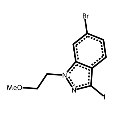 COCCn1nc(I)c2ccc(Br)cc21